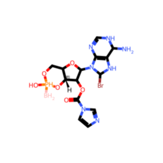 B[PH]1(O)OCC2OC(N3C4=C(NC3Br)C(N)NC=N4)C(OC(=O)n3ccnc3)[C@@H]2O1